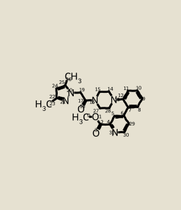 COC(=O)c1cc(-c2ccccc2N2CCN(C(=O)Cn3nc(C)cc3C)CC2)ccn1